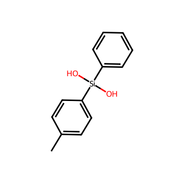 Cc1ccc([Si](O)(O)c2ccccc2)cc1